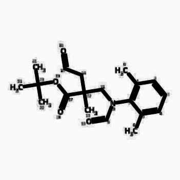 Cc1cccc(C)c1N(C=O)CC(C)(CC=O)C(=O)OC(C)(C)C